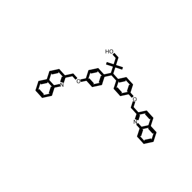 CC(C)(CO)C(c1ccc(OCc2ccc3ccccc3n2)cc1)c1ccc(OCc2ccc3ccccc3n2)cc1